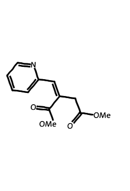 COC(=O)CC(=Cc1ccccn1)C(=O)OC